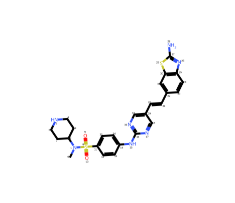 CN(C1CCNCC1)S(=O)(=O)c1ccc(Nc2ncc(C=Cc3ccc4nc(N)sc4c3)cn2)cc1